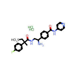 CC(CS(=O)(=O)O)(C(=O)NCC(N)c1ccc(C(=O)Nc2ccncc2)cc1)c1ccc(F)cc1.Cl.Cl